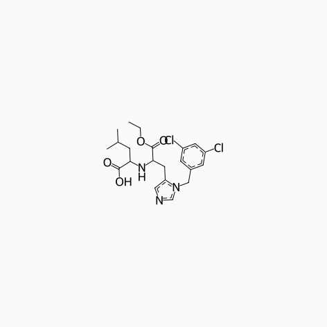 CCOC(=O)C(Cc1cncn1Cc1cc(Cl)cc(Cl)c1)NC(CC(C)C)C(=O)O